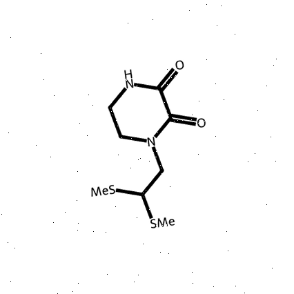 CSC(CN1CCNC(=O)C1=O)SC